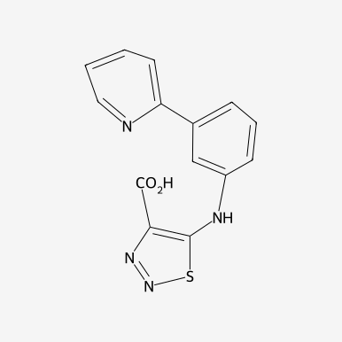 O=C(O)c1nnsc1Nc1cccc(-c2ccccn2)c1